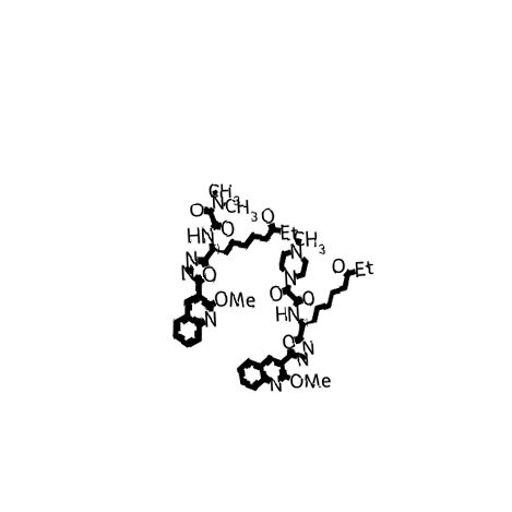 CCC(=O)CCCCC[C@H](NC(=O)C(=O)N(C)C)c1nnc(-c2cc3ccccc3nc2OC)o1.CCC(=O)CCCCC[C@H](NC(=O)C(=O)N1CCN(C)CC1)c1nnc(-c2cc3ccccc3nc2OC)o1